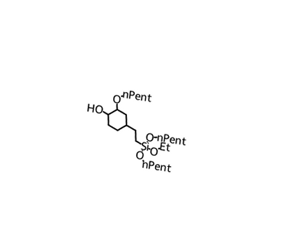 CCCCCOC1CC(CC[Si](OCC)(OCCCCC)OCCCCC)CCC1O